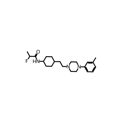 Cc1cccc(N2CCN(CCC3CCC(NC(=O)C(C)F)CC3)CC2)c1